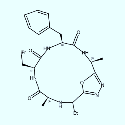 CCC1N[C@@H](C)C(=O)N[C@@H](CC(C)C)C(=O)N[C@@H](Cc2ccccc2)C(=O)N[C@@H](C)c2nnc1o2